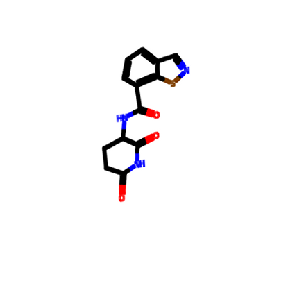 O=C1CCC(NC(=O)c2cccc3cnsc23)C(=O)N1